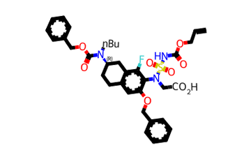 C=CCOC(=O)NS(=O)(=O)N(CC(=O)O)c1c(OCc2ccccc2)cc2c(c1F)C[C@H](N(CCCC)C(=O)OCc1ccccc1)CC2